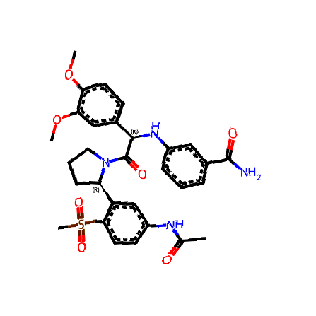 COc1ccc([C@@H](Nc2cccc(C(N)=O)c2)C(=O)N2CCC[C@@H]2c2cc(NC(C)=O)ccc2S(C)(=O)=O)cc1OC